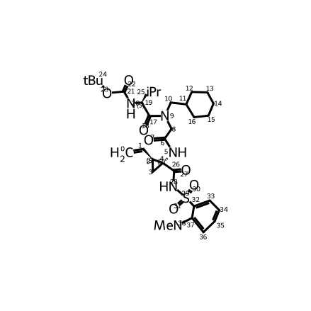 C=C[C@@H]1C[C@]1(NC(=O)CN(CC1CCCCC1)C(=O)[C@@H](NC(=O)OC(C)(C)C)C(C)C)C(=O)NS(=O)(=O)c1ccccc1NC